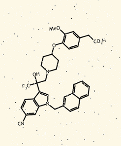 [C-]#[N+]c1ccc2c(C(O)(CN3CCC(Oc4ccc(CC(=O)O)cc4OC)CC3)C(F)(F)F)cn(Cc3ccc4ccccc4c3)c2c1